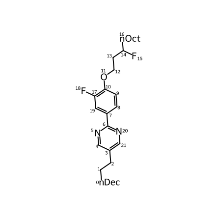 CCCCCCCCCCCCc1cnc(-c2ccc(OCCC(F)CCCCCCCC)c(F)c2)nc1